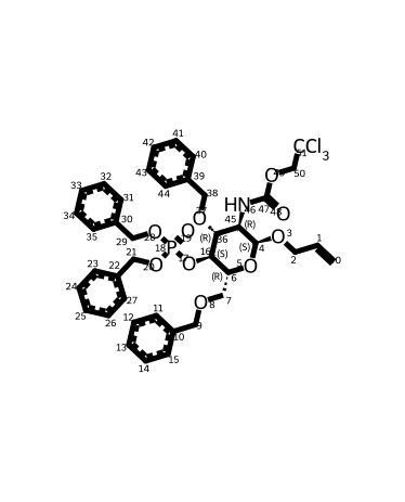 C=CCO[C@H]1O[C@H](COCc2ccccc2)[C@@H](OP(=O)(OCc2ccccc2)OCc2ccccc2)[C@H](OCc2ccccc2)[C@H]1NC(=O)OCC(Cl)(Cl)Cl